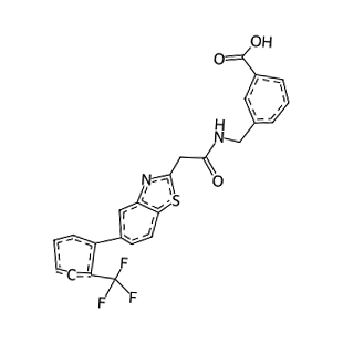 O=C(Cc1nc2cc(-c3ccccc3C(F)(F)F)ccc2s1)NCc1cccc(C(=O)O)c1